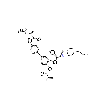 C=C(C)C(=O)Oc1ccc(-c2ccc(OC(=O)C(=C)CO)cc2)cc1OC(=O)/C=C/C1CCC(CCCC)CC1